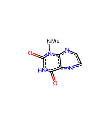 CNn1c(=O)[nH]c(=O)c2nccnc21